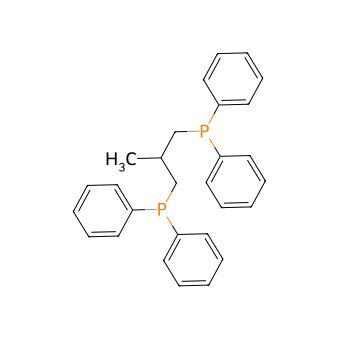 CC(CP(c1ccccc1)c1ccccc1)CP(c1ccccc1)c1ccccc1